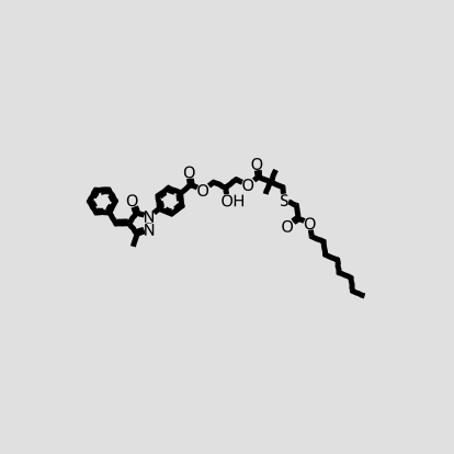 CCCCCCCCOC(=O)CSCC(C)(C)C(=O)OCC(O)COC(=O)c1ccc(N2N=C(C)/C(=C/c3ccccc3)C2=O)cc1